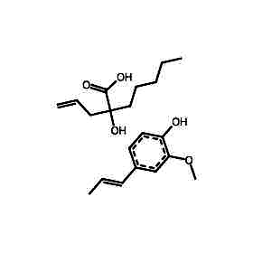 C=CCC(O)(CCCCC)C(=O)O.CC=Cc1ccc(O)c(OC)c1